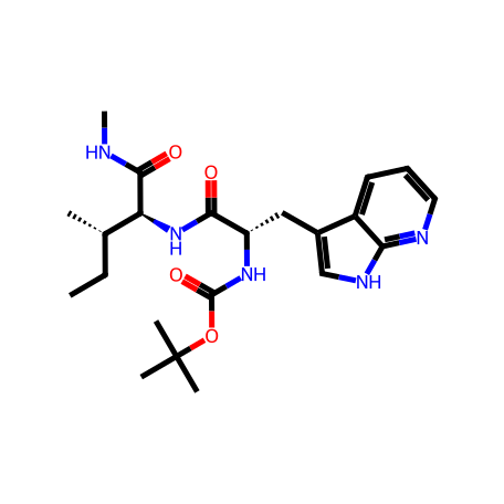 CC[C@H](C)[C@H](NC(=O)[C@H](Cc1c[nH]c2ncccc12)NC(=O)OC(C)(C)C)C(=O)NC